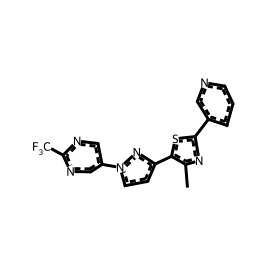 Cc1nc(-c2cccnc2)sc1-c1ccn(-c2cnc(C(F)(F)F)nc2)n1